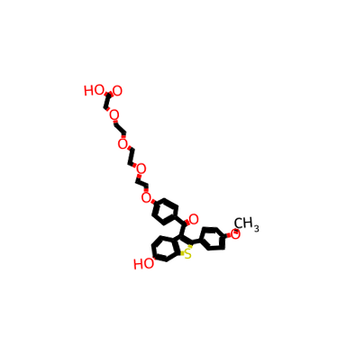 COc1ccc(-c2sc3cc(O)ccc3c2C(=O)c2ccc(OCCOCCOCCOCC(=O)O)cc2)cc1